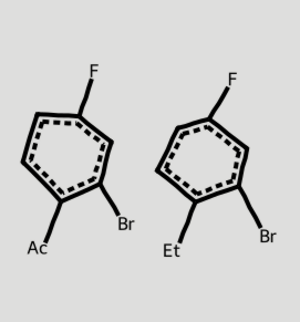 CC(=O)c1ccc(F)cc1Br.CCc1ccc(F)cc1Br